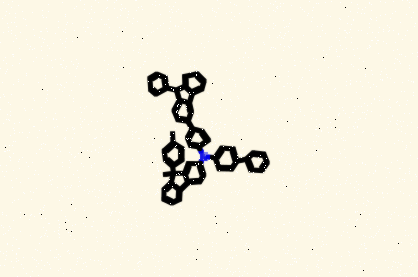 Cc1ccc(C2(C)c3ccccc3-c3ccc(N(c4ccc(-c5ccccc5)cc4)c4ccc(-c5ccc6c(c5)-c5ccccc5C6c5ccccc5)cc4)cc32)cc1